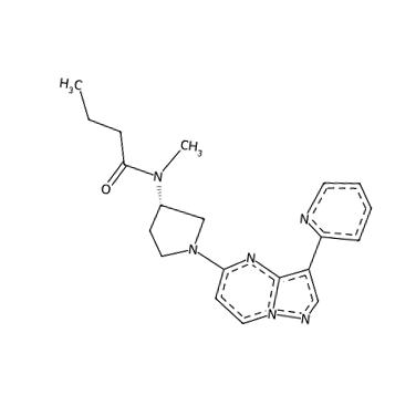 CCCC(=O)N(C)[C@H]1CCN(c2ccn3ncc(-c4ccccn4)c3n2)C1